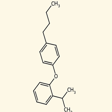 CCCCc1ccc(Oc2ccccc2C(C)C)cc1